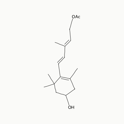 CC(=O)OC/C=C(C)/C=C/C1=C(C)CC(O)CC1(C)C